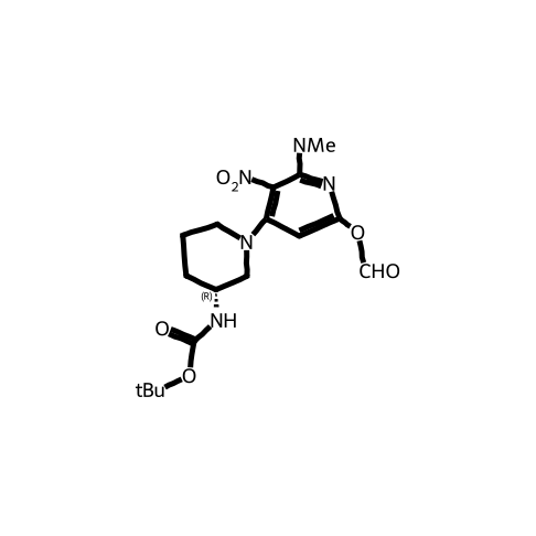 CNc1nc(OC=O)cc(N2CCC[C@@H](NC(=O)OC(C)(C)C)C2)c1[N+](=O)[O-]